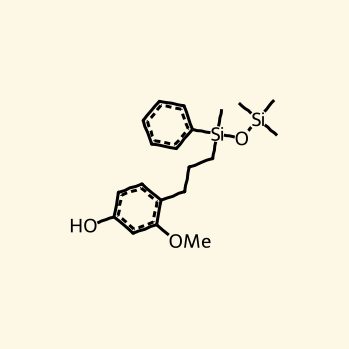 COc1cc(O)ccc1CCC[Si](C)(O[Si](C)(C)C)c1ccccc1